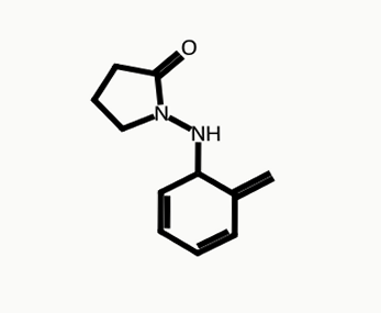 C=C1C=CC=CC1NN1CCCC1=O